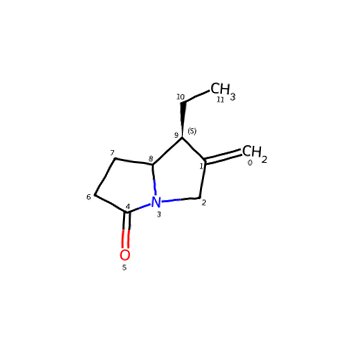 C=C1CN2C(=O)CCC2[C@H]1CC